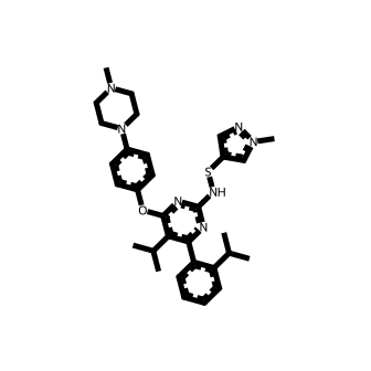 CC(C)c1ccccc1-c1nc(NSc2cnn(C)c2)nc(Oc2ccc(N3CCN(C)CC3)cc2)c1C(C)C